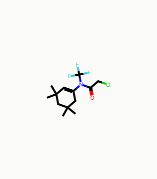 CC1(C)C=C(N(C(=O)CCl)C(F)(F)F)CC(C)(C)C1